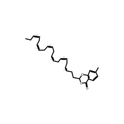 CC/C=C\C/C=C\C/C=C\C/C=C\C/C=C\C/C=C\CCC1OC(=O)c2ccc(C)cc2O1